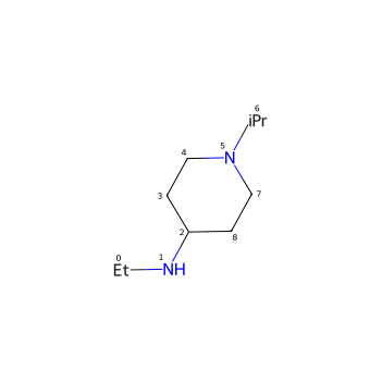 CCNC1CCN(C(C)C)CC1